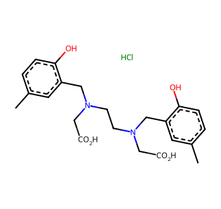 Cc1ccc(O)c(CN(CCN(CC(=O)O)Cc2cc(C)ccc2O)CC(=O)O)c1.Cl